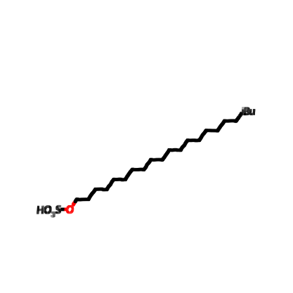 CCC(C)CCCCCCCCCCCCCCCCCCOS(=O)(=O)O